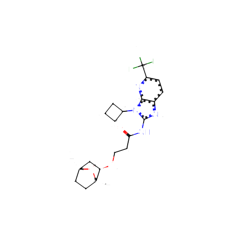 O=C(CCO[C@@H]1C[C@@H]2CC[C@H]1O2)Nc1nc2ccc(C(F)(F)F)nc2n1C1CCC1